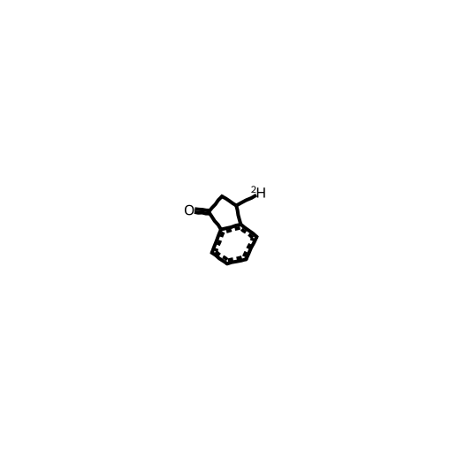 [2H]C1CC(=O)c2ccccc21